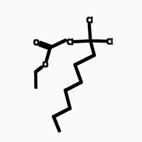 CCCCCCCC(Cl)(Cl)Cl.CCOC(C)=O